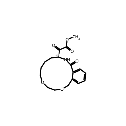 COC(=O)C(=O)[C@@H]1CCCCOCCOCc2ccccc2C(=O)N1